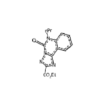 CCCn1c(=O)n2nc(C(=O)OCC)nc2c2ccccc21